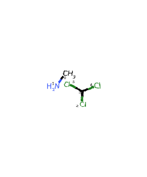 CN.ClC(Cl)Cl